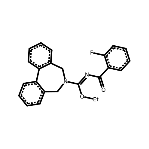 CCO/C(=N\C(=O)c1ccccc1F)N1Cc2ccccc2-c2ccccc2C1